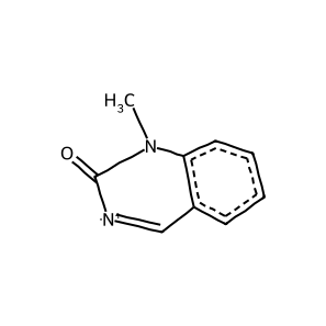 CN1C(=O)[N+]=Cc2ccccc21